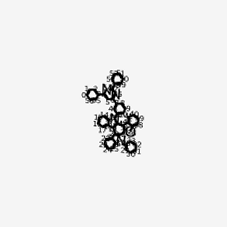 c1ccc(-c2cc(-c3cccc(-n4c5ccccc5c5c6c7ccccc7n(-c7ccccc7)c6c6oc7ccccc7c6c54)c3)nc(-c3ccccc3)n2)cc1